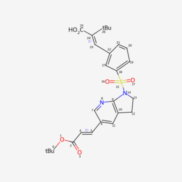 CC(C)(C)OC(=O)/C=C/c1cnc2c(c1)CCN2S(=O)(=O)c1cccc(/C=C(/C(=O)O)C(C)(C)C)c1